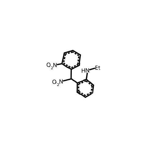 CCNc1ccccc1C(c1ccccc1[N+](=O)[O-])[N+](=O)[O-]